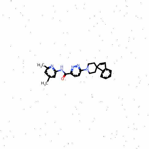 Cc1cc(C)nc(NC(=O)c2ccc(N3CCC4(C=Cc5ccccc54)CC3)nn2)c1